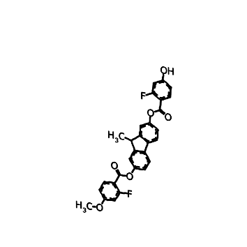 COc1ccc(C(=O)Oc2ccc3c(c2)C(C)c2cc(OC(=O)c4ccc(O)cc4F)ccc2-3)c(F)c1